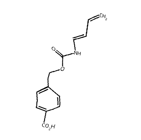 C=C/C=C/NC(=O)OCc1ccc(C(=O)O)cc1